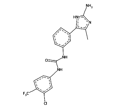 Cc1nc(N)[nH]c1-c1cccc(NC(=O)Nc2ccc(C(F)(F)F)c(Cl)c2)c1